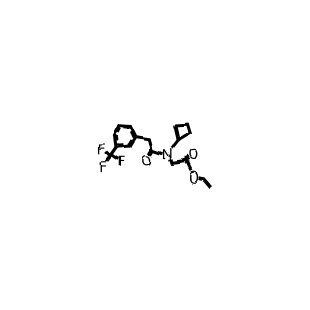 CCOC(=O)CN(C(=O)Cc1cccc(C(F)(F)F)c1)C1CCC1